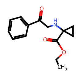 CCOC(=O)C1(NCC(=O)c2ccccc2)CC1